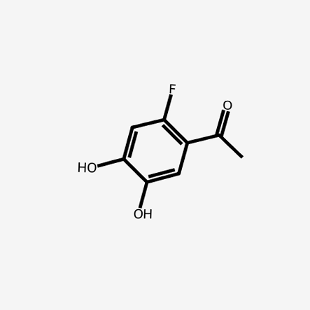 CC(=O)c1cc(O)c(O)cc1F